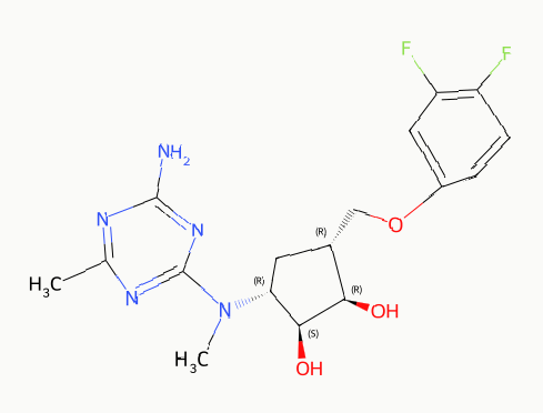 Cc1nc(N)nc(N(C)[C@@H]2C[C@H](COc3ccc(F)c(F)c3)[C@@H](O)[C@H]2O)n1